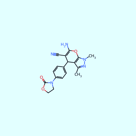 Cc1nn(C)c2c1C(c1ccc(N3CCOC3=O)cc1)C(C#N)=C(N)O2